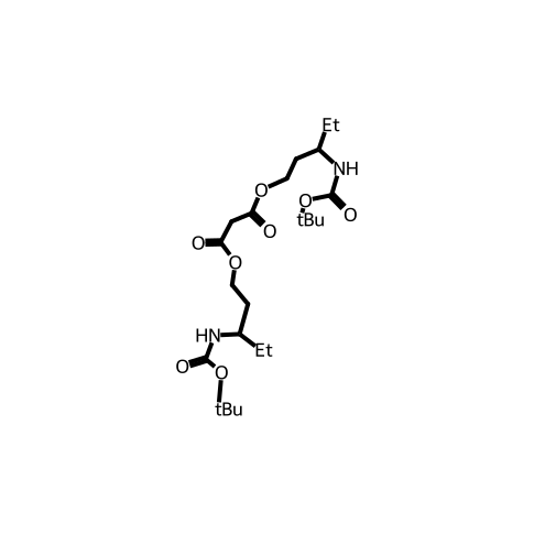 CCC(CCOC(=O)CC(=O)OCCC(CC)NC(=O)OC(C)(C)C)NC(=O)OC(C)(C)C